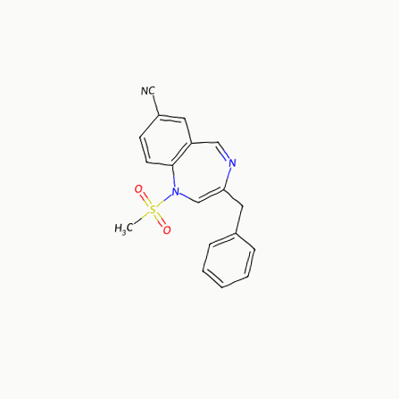 CS(=O)(=O)N1C=C(Cc2ccccc2)N=Cc2cc(C#N)ccc21